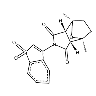 C[C@]12CC[C@](C)(O1)[C@@H]1C(=O)N(C3=CS(=O)(=O)c4ccccc43)C(=O)[C@@H]12